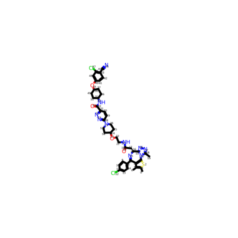 Cc1sc2c(c1C)C(c1ccc(Cl)cc1)=N[C@@H](CC(=O)NCCOC1CCN(c3ccc(C(=O)NC4CCC(Oc5ccc(C#N)c(Cl)c5)CC4)nn3)CC1)c1nnc(C)n1-2